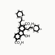 O=C(O)c1ccc2c(c1)C(O)c1c-2cc(CCN2CCCCC2)c(C(=O)O)c1CCN1CCCCC1